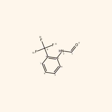 O=CNc1[c]cccc1C(F)(F)F